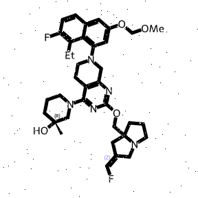 CCc1c(F)ccc2cc(OCOC)cc(N3CCc4c(nc(OCC56CCCN5C/C(=C\F)C6)nc4N4CCC[C@@](C)(O)C4)C3)c12